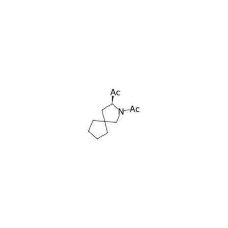 CC(=O)[C@@H]1CC2(CCCC2)CN1C(C)=O